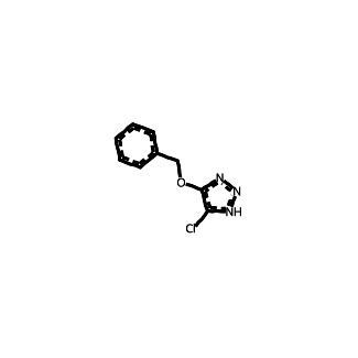 Clc1[nH]nnc1OCc1ccccc1